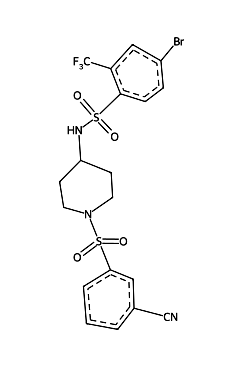 N#Cc1cccc(S(=O)(=O)N2CCC(NS(=O)(=O)c3ccc(Br)cc3C(F)(F)F)CC2)c1